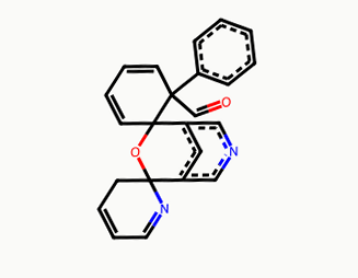 O=CC1(c2ccccc2)C=CC=CC12OC1(CC=CC=N1)c1cncc2c1